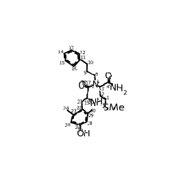 CSCC[C@H](C(N)=O)N(CCCc1ccccc1)C(=O)[C@@H](N)Cc1c(C)cc(O)cc1C